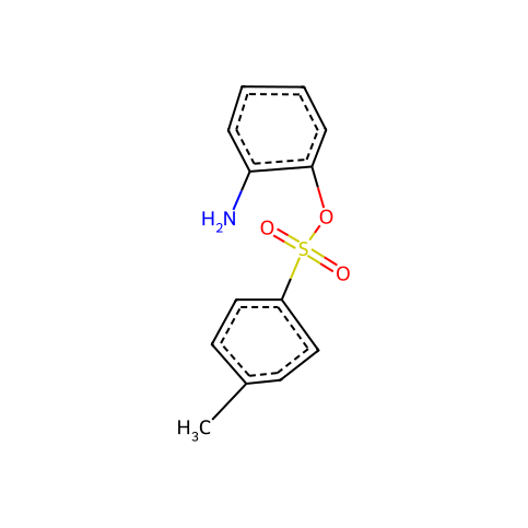 Cc1ccc(S(=O)(=O)Oc2ccccc2N)cc1